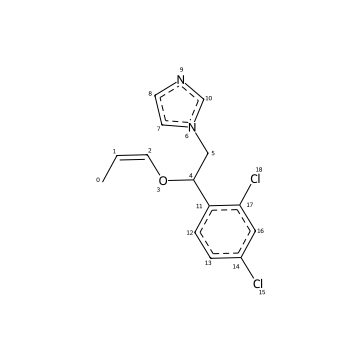 C/C=C\OC(Cn1ccnc1)c1ccc(Cl)cc1Cl